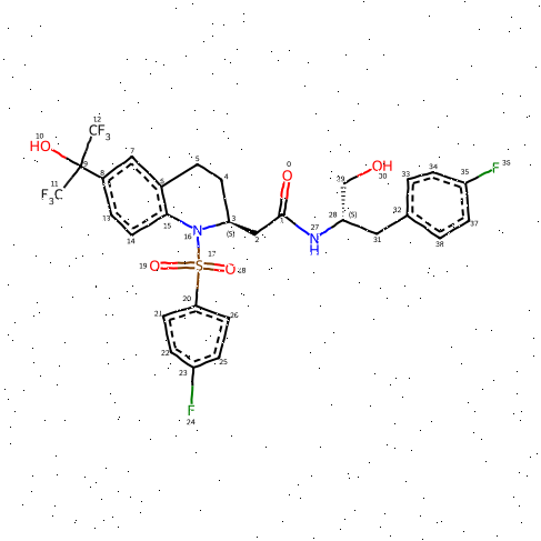 O=C(C[C@@H]1CCc2cc(C(O)(C(F)(F)F)C(F)(F)F)ccc2N1S(=O)(=O)c1ccc(F)cc1)N[C@H](CO)Cc1ccc(F)cc1